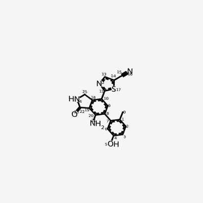 Cc1ccc(O)cc1-c1cc(-c2ncc(C#N)s2)c2c(c1N)C(=O)NC2